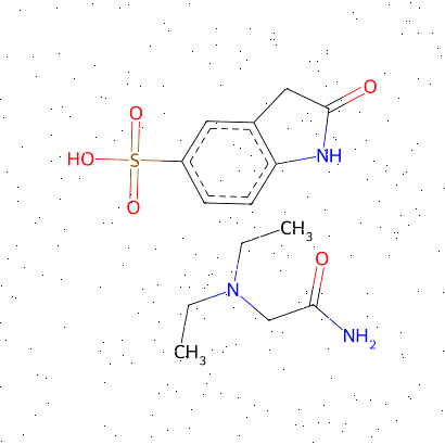 CCN(CC)CC(N)=O.O=C1Cc2cc(S(=O)(=O)O)ccc2N1